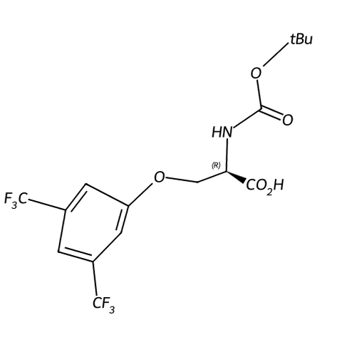 CC(C)(C)OC(=O)N[C@H](COc1cc(C(F)(F)F)cc(C(F)(F)F)c1)C(=O)O